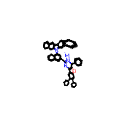 c1ccc(-c2cc3oc4c(c3cc2-c2ccccc2)N=C(c2cc(-n3c5cc6ccccc6cc5c5cc6ccccc6cc53)c3ccccc3c2)NC4c2ccccc2)cc1